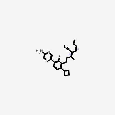 C=C/C=C\C(C#N)=C(/C)CCc1c(C2CCC2)ccc(-c2cnc(N)cn2)c1F